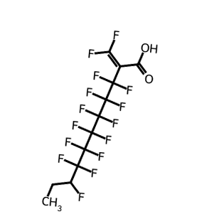 CCC(F)C(F)(F)C(F)(F)C(F)(F)C(F)(F)C(F)(F)C(F)(F)C(C(=O)O)=C(F)F